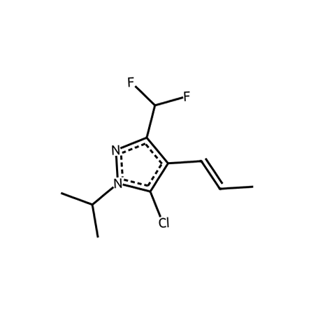 CC=Cc1c(C(F)F)nn(C(C)C)c1Cl